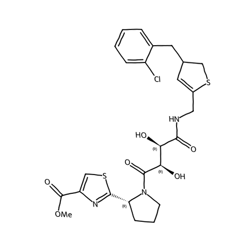 COC(=O)c1csc([C@H]2CCCN2C(=O)[C@H](O)[C@@H](O)C(=O)NCC2=CC(Cc3ccccc3Cl)CS2)n1